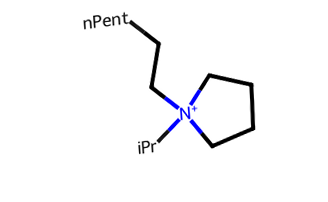 CCCCCCC[N+]1(C(C)C)CCCC1